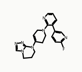 Fc1ccc(-c2cccnc2N2CC=C(N3CCCn4cnnc43)CC2)cn1